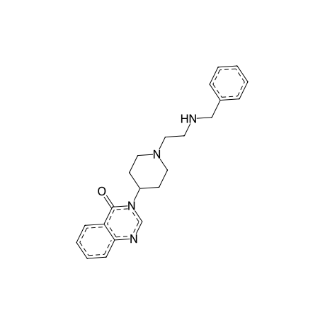 O=c1c2ccccc2ncn1C1CCN(CCNCc2ccccc2)CC1